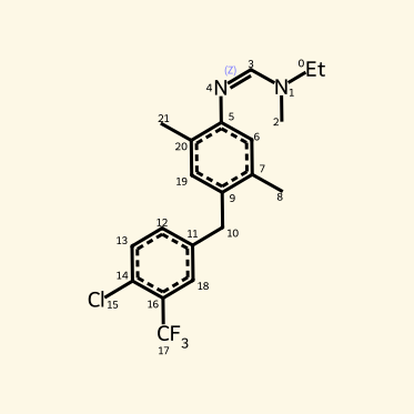 CCN(C)/C=N\c1cc(C)c(Cc2ccc(Cl)c(C(F)(F)F)c2)cc1C